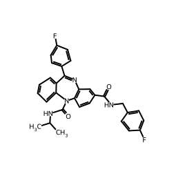 CC(C)NC(=O)N1c2ccc(C(=O)NCc3ccc(F)cc3)cc2N=C(c2ccc(F)cc2)c2ccccc21